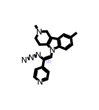 Cc1ccc2c(c1)c1c(n2/C=C(\N=[N+]=[N-])c2ccncc2)CCN(C)C1